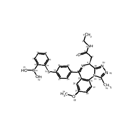 CCNC(=O)C[C@@H]1N=C(c2ccc(Sc3ccccc3B(O)O)cc2)c2cc(OC)ccc2-n2c(C)nnc21